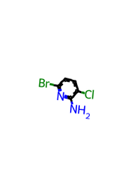 Nc1nc(Br)ccc1Cl